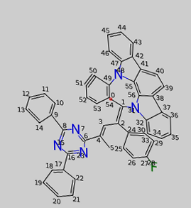 C/C(=C(\C=C(/C)c1nc(-c2ccccc2)nc(-c2ccccc2)n1)c1ccc(F)cc1)n1c2ccccc2c2ccc3c4ccccc4n(-c4c#cccc4)c3c21